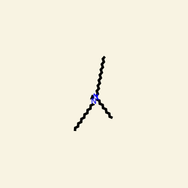 CCCCCCCCCCCCCCCn1cc[n+](CCCCCCCCCCCCC)c1CCCCCCCCC